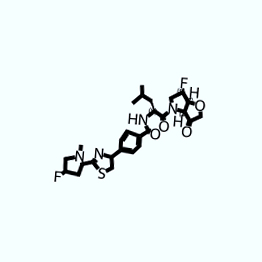 CC(C)C[C@H](NC(=O)c1ccc(C2CSC(C3CC(F)CN3C)=N2)cc1)C(=O)N1C[C@H](F)[C@H]2OCC(=O)[C@H]21